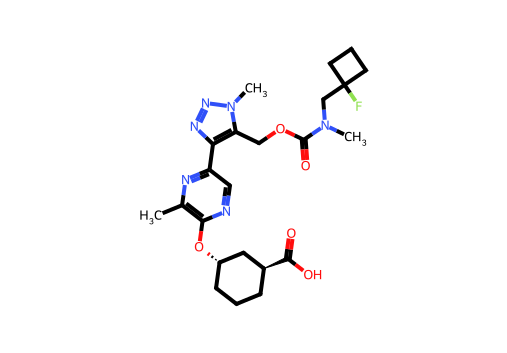 Cc1nc(-c2nnn(C)c2COC(=O)N(C)CC2(F)CCC2)cnc1O[C@H]1CCC[C@H](C(=O)O)C1